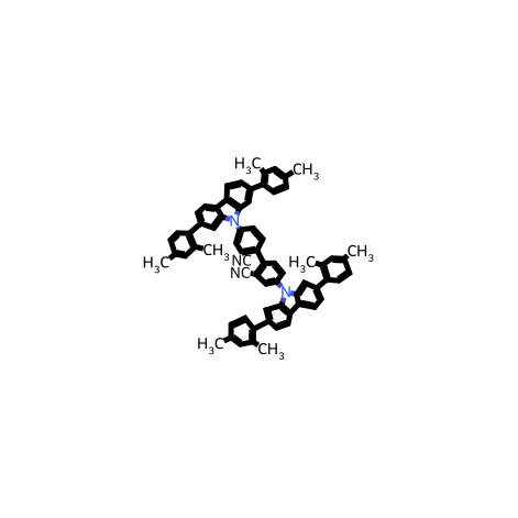 Cc1ccc(-c2ccc3c4ccc(-c5ccc(C)cc5C)cc4n(-c4ccc(-c5ccc(-n6c7cc(-c8ccc(C)cc8C)ccc7c7ccc(-c8ccc(C)cc8C)cc76)cc5C#N)c(C#N)c4)c3c2)c(C)c1